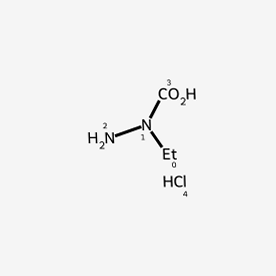 CCN(N)C(=O)O.Cl